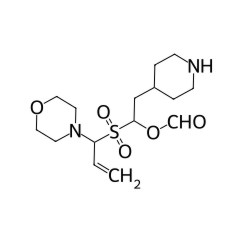 C=CC(N1CCOCC1)S(=O)(=O)C(CC1CCNCC1)OC=O